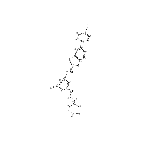 O=C(Cc1ccc(-c2ccc(F)cc2)cn1)NCc1cc(F)cc(OCCN2CCOCC2)c1